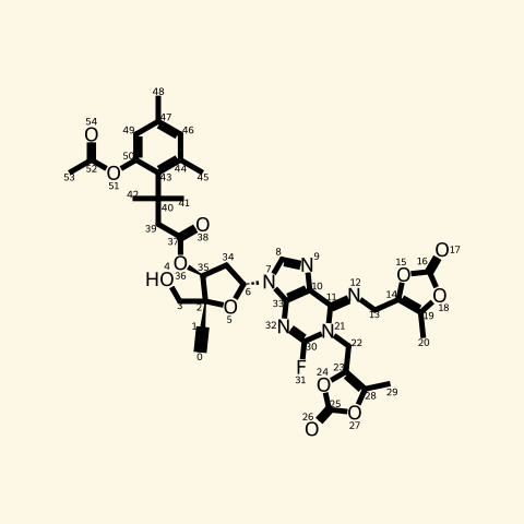 C#C[C@]1(CO)O[C@@H](n2cnc3/c(=N/Cc4oc(=O)oc4C)n(Cc4oc(=O)oc4C)c(F)nc32)C[C@@H]1OC(=O)CC(C)(C)c1c(C)cc(C)cc1OC(C)=O